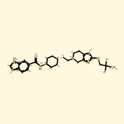 CC(F)(F)COc1nc2c(s1)CCN(CC[C@H]1CC[C@H](NC(=O)c3ccc4nc[nH]c4c3)CC1)C2